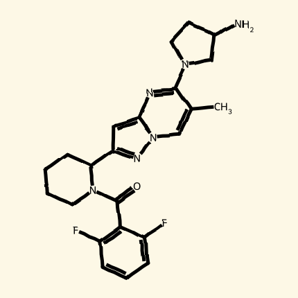 Cc1cn2nc(C3CCCCN3C(=O)c3c(F)cccc3F)cc2nc1N1CCC(N)C1